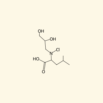 CC(C)CC(C(=O)O)N(Cl)CC(O)CO